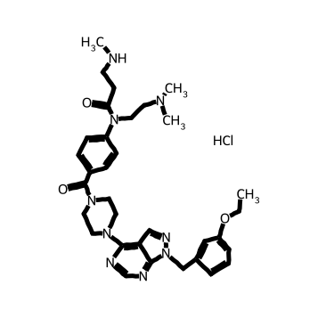 CCOc1cccc(Cn2ncc3c(N4CCN(C(=O)c5ccc(N(CCN(C)C)C(=O)CCNC)cc5)CC4)ncnc32)c1.Cl